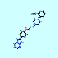 COc1ccccc1N1CCN(CCCOc2ccc(-c3cn4cccnc4n3)cc2)CC1